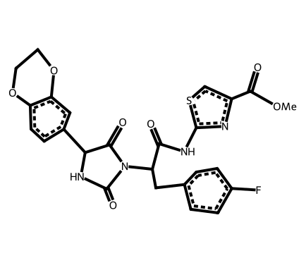 COC(=O)c1csc(NC(=O)C(Cc2ccc(F)cc2)N2C(=O)NC(c3ccc4c(c3)OCCO4)C2=O)n1